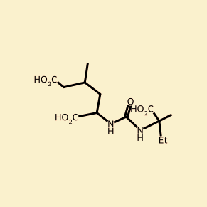 CCC(C)(NC(=O)NC(CC(C)CC(=O)O)C(=O)O)C(=O)O